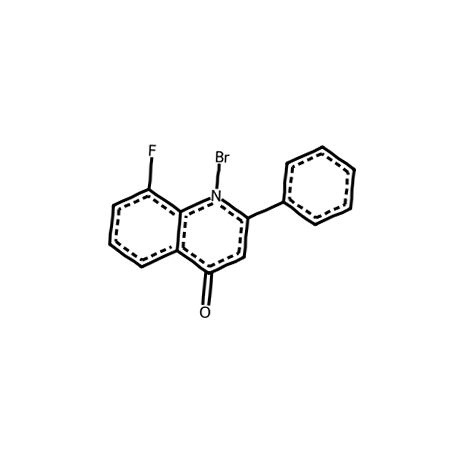 O=c1cc(-c2ccccc2)n(Br)c2c(F)cccc12